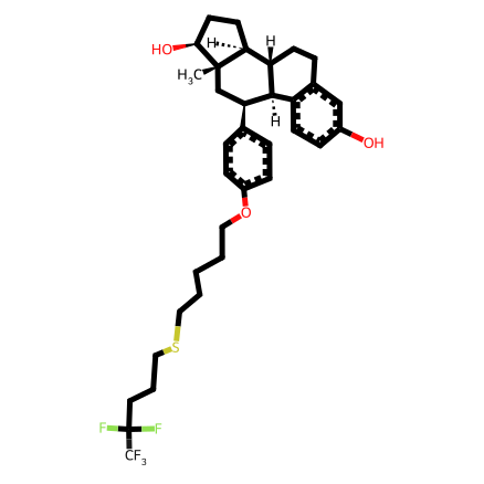 C[C@]12C[C@H](c3ccc(OCCCCCSCCCC(F)(F)C(F)(F)F)cc3)[C@@H]3c4ccc(O)cc4CC[C@H]3[C@@H]1CC[C@@H]2O